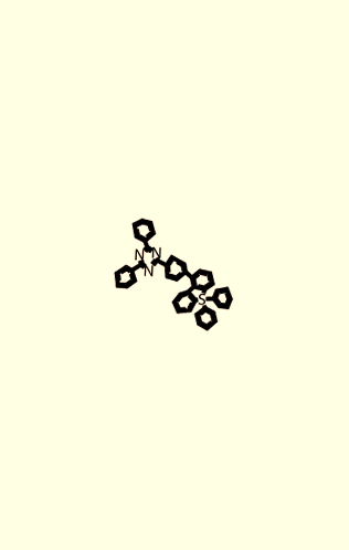 c1ccc(-c2nc(-c3ccccc3)nc(-c3ccc(-c4cccc5c4-c4ccccc4S5(c4ccccc4)c4ccccc4)cc3)n2)cc1